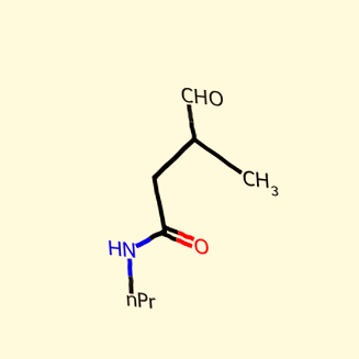 CCCNC(=O)CC(C)C=O